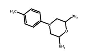 BC1CN(c2ccc(C)cc2)CC(B)O1